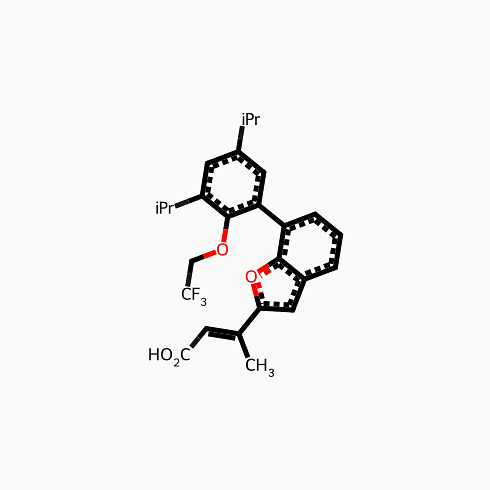 C/C(=C\C(=O)O)c1cc2cccc(-c3cc(C(C)C)cc(C(C)C)c3OCC(F)(F)F)c2o1